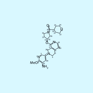 COc1ncc(N2CCc3ncnc(O[C@H]4CCN(C(=O)C5CCOCC5)C4)c3C2)cc1N